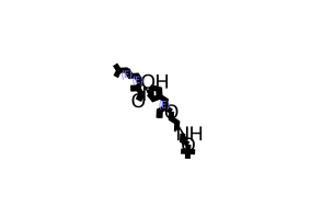 C=C/C(=C\C1=CCN(C(=O)C(=C)/C(O)=C\C=C\C(C)C)C1)OCCCNCOC(C)(C)C